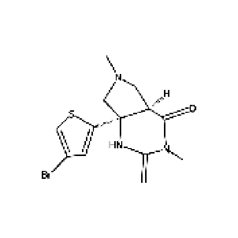 C=C1N[C@@]2(c3cc(Br)cs3)CN(C)C[C@H]2C(=O)N1C